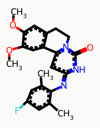 COc1cc2c(cc1OC)-c1c/c(=N\c3c(C)cc(F)cc3C)[nH]c(=O)n1CC2